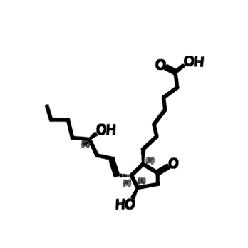 CCCC[C@@H](O)CC=C[C@H]1[C@H](O)CC(=O)[C@@H]1CCCCCCC(=O)O